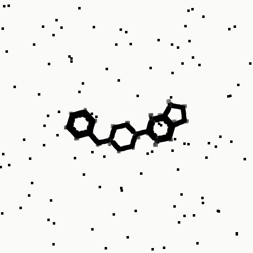 c1ccc(CN2CCN(c3ncc4c(n3)OCC4)CC2)cc1